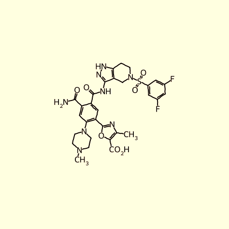 Cc1nc(-c2cc(C(=O)Nc3n[nH]c4c3CN(S(=O)(=O)c3cc(F)cc(F)c3)CC4)c(C(N)=O)cc2N2CCN(C)CC2)oc1C(=O)O